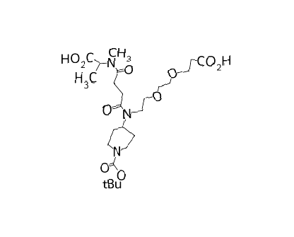 CC(C(=O)O)N(C)C(=O)CCC(=O)N(CCOCCOCCC(=O)O)C1CCN(C(=O)OC(C)(C)C)CC1